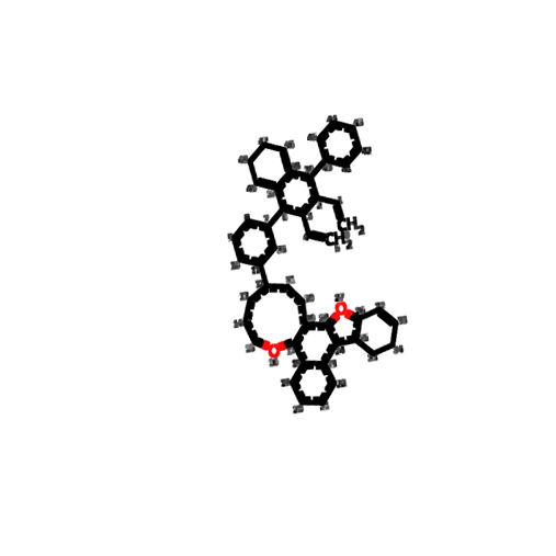 C=Cc1c(C=C)c(-c2cccc(-c3cccoc4c5ccccc5c5c6c(oc5c4cc3)C=CCC6)c2)c2c(c1-c1ccccc1)=CCCC=2